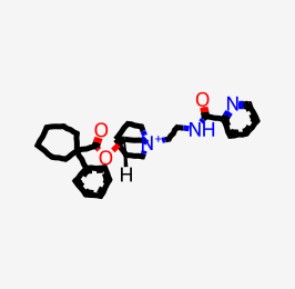 O=C(NCC[N+]12CCC(CC1)[C@@H](OC(=O)C1(c3ccccc3)CCCCCC1)C2)c1ccccn1